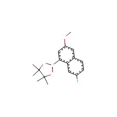 COc1cc(B2OC(C)(C)C(C)(C)O2)c2cc(F)ccc2c1